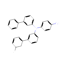 CC1C=CC=C(c2cccc(N(c3ccc(N)cc3)c3cccc(-c4ccccc4)c3)c2)C1